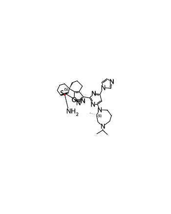 CC(C)N1CCCN(c2cc(-n3ccnc3)nc(-c3noc4c3CCC[C@@]43CCCc4sc(N)c(C#N)c43)n2)[C@@H](C)C1